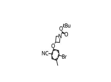 Cc1cc(C#N)c(OC2CN(C(=O)OC(C)(C)C)C2)cc1Br